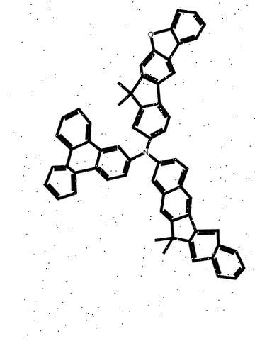 CC1(C)c2cc3ccccc3cc2-c2cc3ccc(N(c4ccc5c(c4)C(C)(C)c4cc6oc7ccccc7c6cc4-5)c4ccc5c6ccccc6c6ccccc6c5c4)cc3cc21